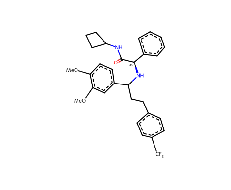 COc1ccc(C(CCc2ccc(C(F)(F)F)cc2)N[C@@H](C(=O)NC2CCC2)c2ccccc2)cc1OC